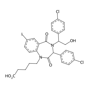 O=C(O)CCCCN1C(=O)C(c2ccc(Cl)cc2)N(C(CO)c2ccc(Cl)cc2)C(=O)c2cc(I)ccc21